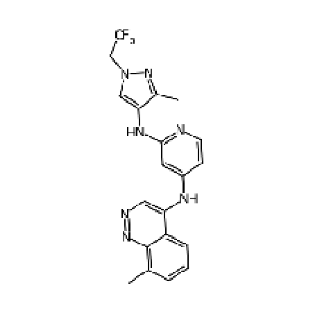 Cc1nn(CC(F)(F)F)cc1Nc1cc(Nc2cnnc3c(C)cccc23)ccn1